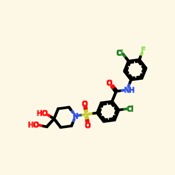 O=C(Nc1ccc(F)c(Cl)c1)c1cc(S(=O)(=O)N2CCC(O)(CO)CC2)ccc1Cl